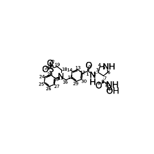 O=C(N[C@@H]1CNC[C@@H]1C(=O)NO)c1ccc(CN2CCS(=O)(=O)c3ccccc32)cc1